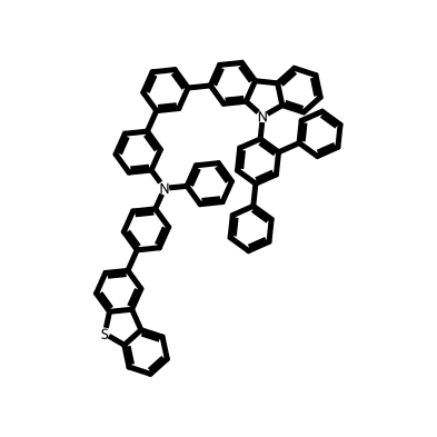 c1ccc(-c2ccc(-n3c4ccccc4c4ccc(-c5cccc(-c6cccc(N(c7ccccc7)c7ccc(-c8ccc9sc%10ccccc%10c9c8)cc7)c6)c5)cc43)c(-c3ccccc3)c2)cc1